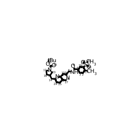 Cc1ccc(C(=O)NCc2cc3nc(CC4CCN(C(=O)OC(C)(C)C)C4)ccc3cn2)cc1S(C)(=O)=O